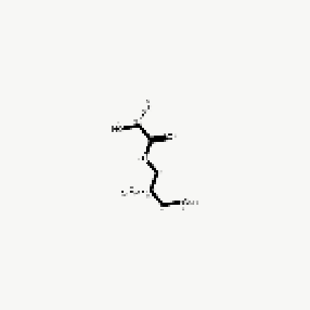 CCCCCCCCCC[C@@H](COC(=O)[C@H](O)CC)OC(C)=O